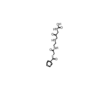 O=C(CNCCNC(=O)CSC(=O)c1ccccc1)CNC(=O)O